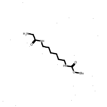 CC(C)(C)OC(=O)NCCCCCCNC(=O)CN